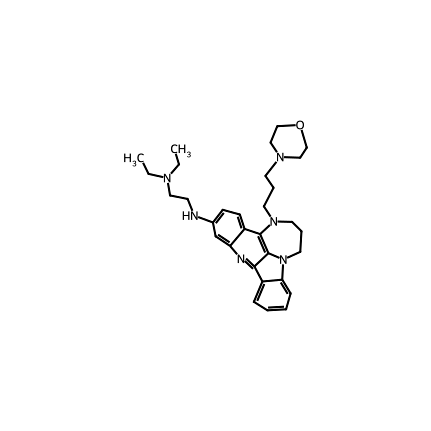 CCN(CC)CCNc1ccc2c3c4c(nc2c1)c1ccccc1n4CCCN3CCCN1CCOCC1